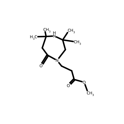 COC(=O)CCN1CC(C)(C)NC(C)(C)CC1=O